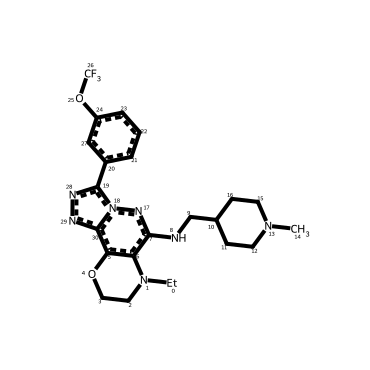 CCN1CCOc2c1c(NCC1CCN(C)CC1)nn1c(-c3cccc(OC(F)(F)F)c3)nnc21